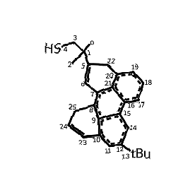 CC(C)(CS)C1=Cc2c3c4c(cc(C(C)(C)C)cc4c4cccc(c24)C1)C=CC3